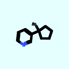 CC(=O)C1(c2cccnc2)CCCC1